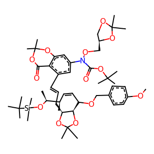 COc1ccc(COC(/C=C\[C@@H](C)[C@H](C)O[Si](C)(C)C(C)(C)C)[C@H]2OC(C)(C)O[C@H]2C/C=C/c2cc(N(OC[C@H]3COC(C)(C)O3)C(=O)OC(C)(C)C)cc3c2C(=O)OC(C)(C)O3)cc1